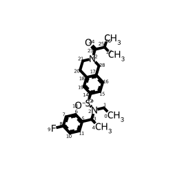 CCN(C(C)c1ccc(F)cc1)[S+]([O-])c1ccc2c(c1)CCN(C(=O)C(C)C)C2